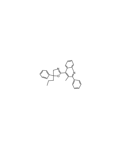 CCCC1(c2ccccc2)CN=C(c2c(C)c(-c3ccccc3)nc3ccccc23)O1